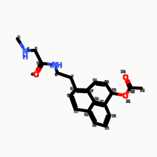 CNCC(=O)NCCc1ccc2cccc3c2c1C=CC3OC(C)=O